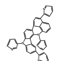 c1ccc(N2c3cccc4c(-c5ccccn5)ccc(c34)-c3ccc4c(c32)c2cc(-c3ccccn3)ccc2n4-c2cccnc2)cc1